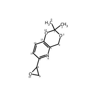 CC1(C)OCc2nc(C3CO3)ccc2O1